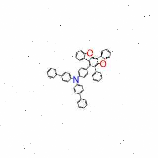 c1ccc(-c2ccc(N(c3ccc(-c4ccccc4)cc3)c3ccc(-c4c(-c5ccccc5)c5oc6ccccc6c5c5oc6ccccc6c45)cc3)cc2)cc1